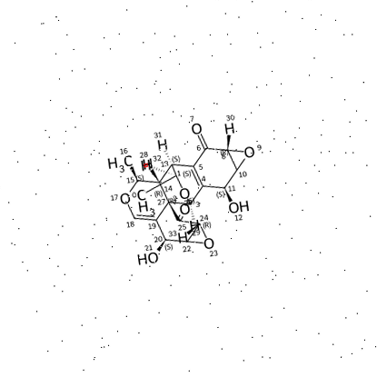 C[C@@H]1O[C@H]2C3=C(C(=O)[C@@H]4OC4[C@H]3O)[C@@H]1[C@H]1[C@H](C)OC=C3[C@H](O)C4O[C@H]4C(=O)[C@@]312